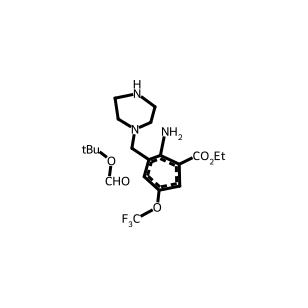 CC(C)(C)OC=O.CCOC(=O)c1cc(OC(F)(F)F)cc(CN2CCNCC2)c1N